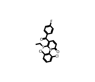 CCSc1c(C(=O)c2ccc(F)cc2)ccc(=O)n1-c1c(Cl)cccc1Cl